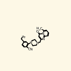 Cc1cccc2nc(CN3CCN(c4cc(CC(C)C)ccc4C#N)CC3)cc(=O)n12